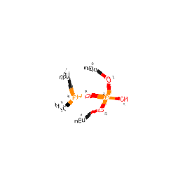 CCCCOP(=O)(O)OCCCC.CCCCPC